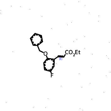 CCOC(=O)/C=C/c1cc(F)ccc1OCc1ccccc1